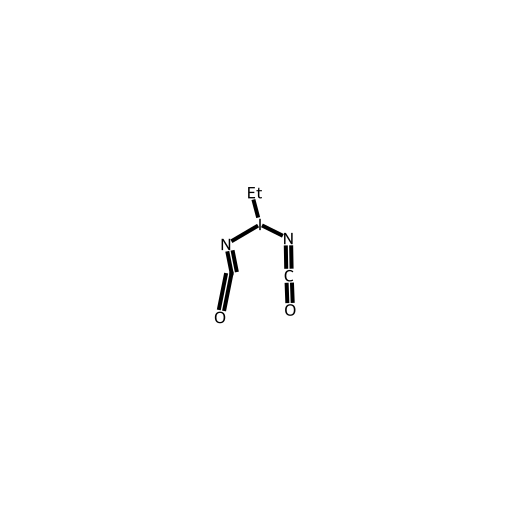 CCI(N=C=O)N=C=O